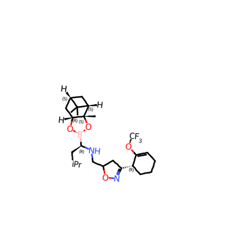 CC(C)C[C@H](NCC1CC([C@H]2CCCC=C2OC(F)(F)F)=NO1)B1O[C@@H]2C[C@@H]3C[C@@H](C3(C)C)[C@]2(C)O1